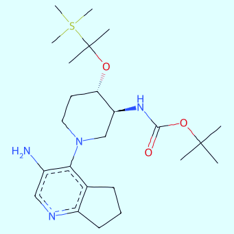 CC(C)(C)OC(=O)N[C@H]1CN(c2c(N)cnc3c2CCC3)CC[C@@H]1OC(C)(C)S(C)(C)C